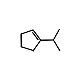 CC(C)C1=CCC[CH]1